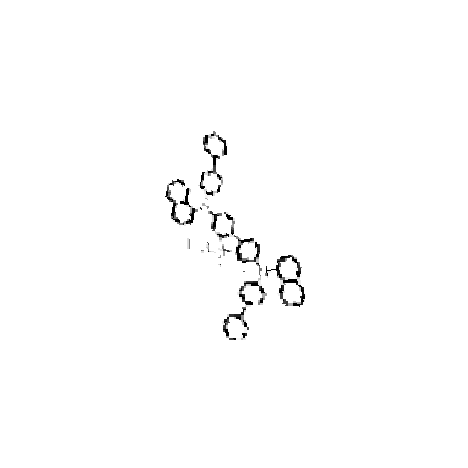 CC1(C)c2cc(N(c3ccc(-c4ccccc4)cc3)c3cccc4ccccc34)ccc2C2C=CC(N(c3ccc(-c4ccccc4)cc3)c3cccc4ccccc34)=CC21